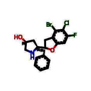 O[C@@H]1CN[C@H]([C@@]2(c3ccccc3)Cc3c(cc(F)c(Cl)c3Br)O2)C1